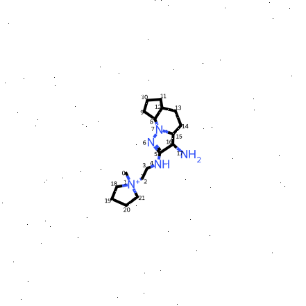 C[N+]1(CCNC2=NN3C4CCCC4CCC3C2N)CCCC1